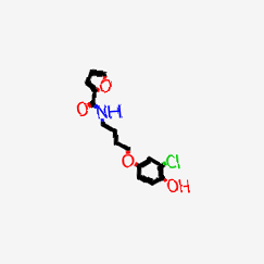 O=C(NCCCCOc1ccc(O)c(Cl)c1)c1ccco1